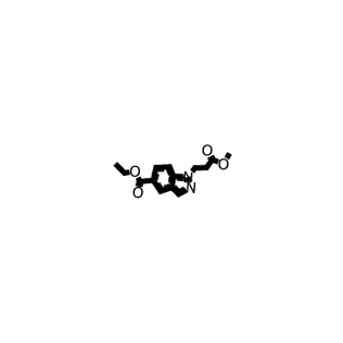 CCOC(=O)c1ccc2c(cnn2CCC(=O)OC)c1